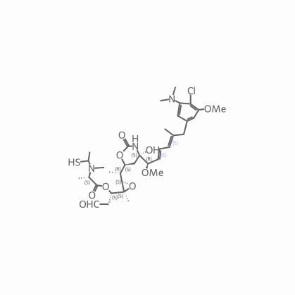 COc1cc(C/C(C)=C/C=C/[C@@H](OC)[C@@]2(O)C[C@@H]([C@@H](C)[C@@H]3O[C@@]3(C)[C@H](CC=O)OC(=O)[C@H](C)N(C)C(C)S)OC(=O)N2)cc(N(C)C)c1Cl